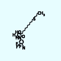 CCCCSCCCCCCCCCC[C@](C)(O)C(=O)Nc1ccc(C#N)c(C(F)(F)F)c1